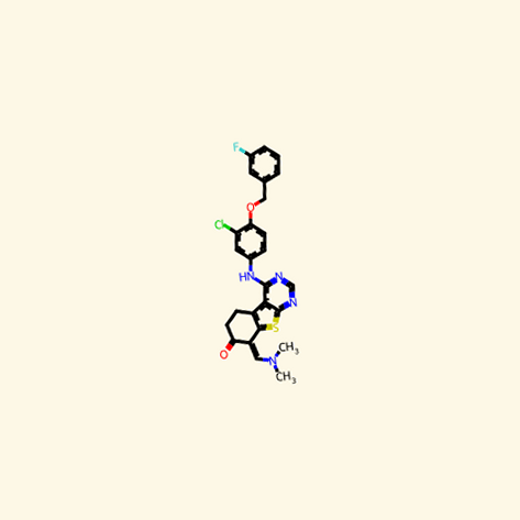 CN(C)/C=C1/C(=O)CCc2c1sc1ncnc(Nc3ccc(OCc4cccc(F)c4)c(Cl)c3)c21